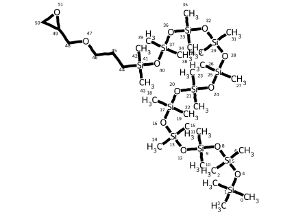 C[Si](C)(C)O[Si](C)(C)O[Si](C)(C)O[Si](C)(C)O[Si](C)(C)O[Si](C)(C)O[Si](C)(C)O[Si](C)(C)O[Si](C)(C)O[Si](C)(C)O[Si](C)(C)CCCOCC1CO1